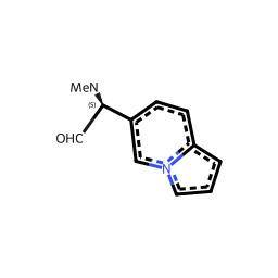 CN[C@H](C=O)c1ccc2cccn2c1